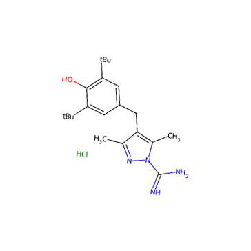 Cc1nn(C(=N)N)c(C)c1Cc1cc(C(C)(C)C)c(O)c(C(C)(C)C)c1.Cl